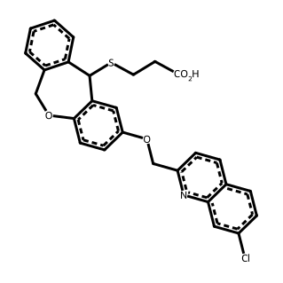 O=C(O)CCSC1c2ccccc2COc2ccc(OCc3ccc4ccc(Cl)cc4n3)cc21